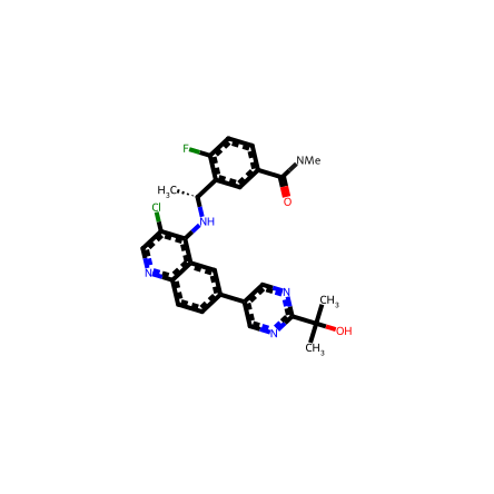 CNC(=O)c1ccc(F)c([C@@H](C)Nc2c(Cl)cnc3ccc(-c4cnc(C(C)(C)O)nc4)cc23)c1